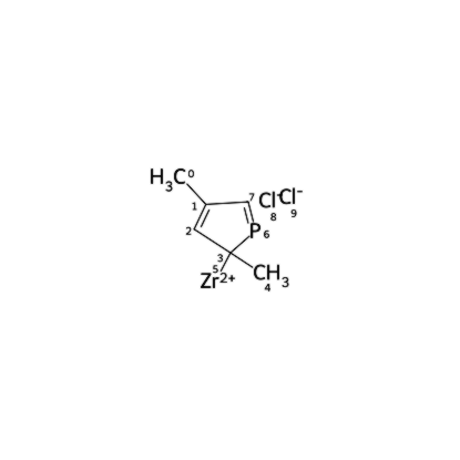 CC1=C[C](C)([Zr+2])P=C1.[Cl-].[Cl-]